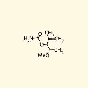 C=C(C)[C@H](OC(N)=O)[C@H](C)OC